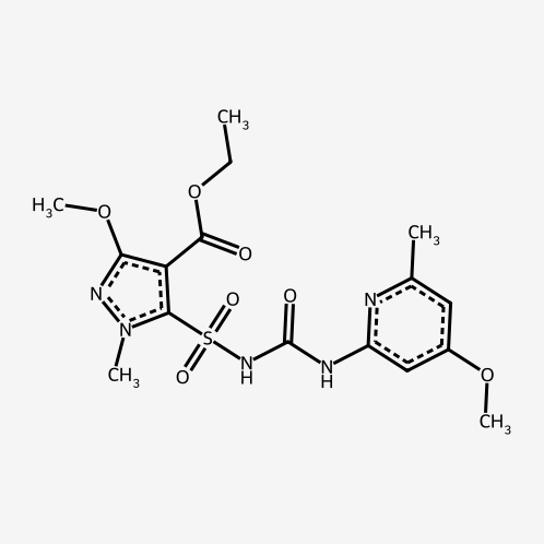 CCOC(=O)c1c(OC)nn(C)c1S(=O)(=O)NC(=O)Nc1cc(OC)cc(C)n1